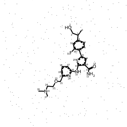 CC(CO)c1ccc(-c2cc(C(N)=O)c(Nc3cccc(COCCN(C)C)n3)s2)c(F)c1